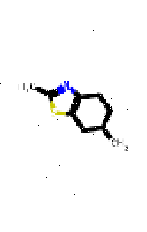 Cc1nc2c(s1)CC(C)CC2